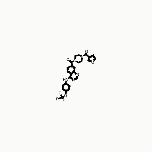 O=C(c1ccoc1)N1CCN(C(=O)c2ccc3c(Nc4ccc(OC(F)(F)F)cc4)ncnc3c2)CC1